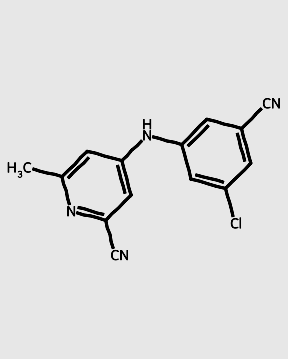 Cc1cc(Nc2cc(Cl)cc(C#N)c2)cc(C#N)n1